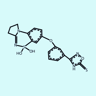 OS1(O)N=C2CCCN2c2ccc(Oc3cccc(-c4noc(=S)[nH]4)c3)cc21